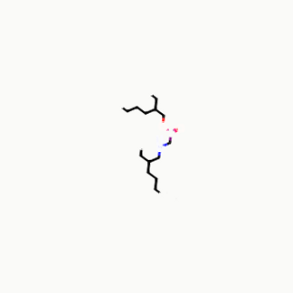 CCCCC(CC)CNC[PH](=O)OCC(CC)CCCC